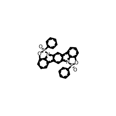 O=P1(c2ccccc2)Oc2cccc3c4cc5c(cc4n1c23)c1cccc2c1n5P(=O)(c1ccccc1)O2